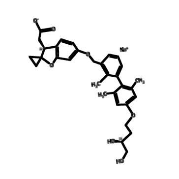 Cc1cc(OCC[C@H](O)CO)cc(C)c1-c1cccc(COc2ccc3c(c2)OC2(CC2)[C@H]3CC(=O)[O-])c1C.[Na+]